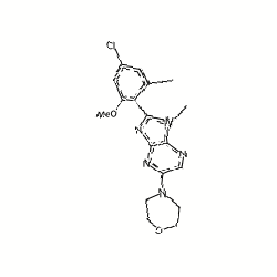 COc1cc(Cl)cc(C)c1-c1nc2nc(N3CCOCC3)cnc2n1C